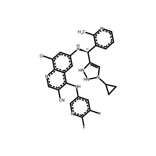 Cc1ncccc1[C@H](Nc1cc(Cl)c2ncc(C#N)c(Nc3cnc(F)c(F)c3)c2c1)C1=CN(C2CC2)NN1